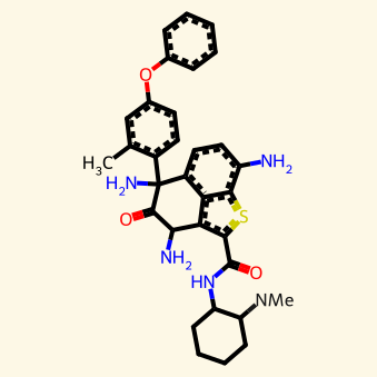 CNC1CCCCC1NC(=O)c1sc2c(N)ccc3c2c1C(N)C(=O)C3(N)c1ccc(Oc2ccccc2)cc1C